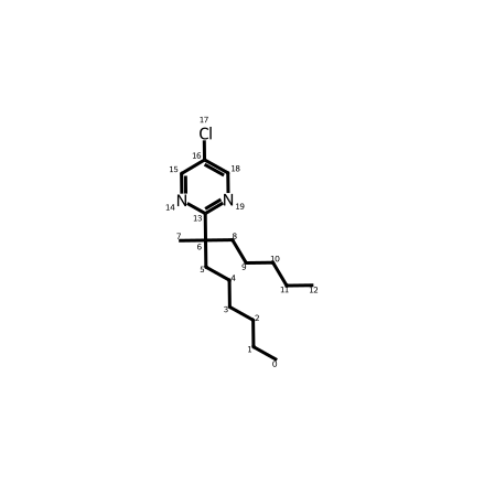 CCCCCCC(C)(CCCCC)c1ncc(Cl)cn1